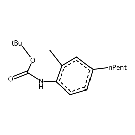 CCCCCc1ccc(NC(=O)OC(C)(C)C)c(C)c1